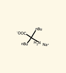 CCCCC(N)(CCCC)C(=O)[O-].[Na+]